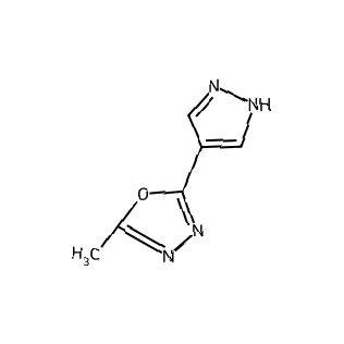 Cc1nnc(-c2cn[nH]c2)o1